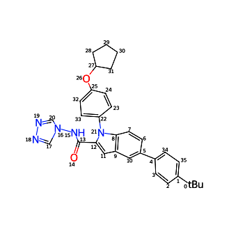 CC(C)(C)c1ccc(-c2ccc3c(c2)cc(C(=O)Nn2cnnc2)n3-c2ccc(OC3CCCC3)cc2)cc1